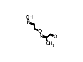 C/C(C=O)=N/OCC=NO